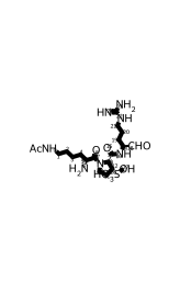 CC(=O)NCCCC[C@@H](N)C(=O)N1CCC[C@H]1C(=O)N[C@H](C=O)CCCNC(=N)N.O=S(=O)(O)O